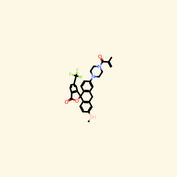 C=C(C)C(=O)N1CCN(c2ccc3c(c2)Cc2cc(BC)ccc2C32OC(=O)c3ccc(C(F)(F)F)cc32)CC1